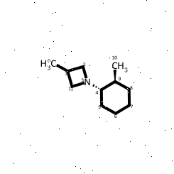 CC1CN([C@H]2CCCC[C@@H]2C)C1